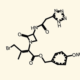 COc1ccc(COC(=O)/C(=C(\C)CBr)N2CC(NC(=O)Cc3nnn[nH]3)C2=O)cc1